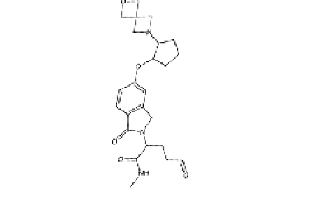 CNC(=O)C(CCC=O)N1Cc2cc(OC3CCCC3N3CC4(COC4)C3)ccc2C1=O